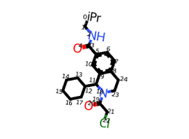 CC(C)CNC(=O)c1ccc2c(c1)C(C1CCCCC1)N(C(=O)CCl)CC2